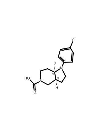 O=C(O)N1CC[C@@H]2[C@@H](CCN2c2ccc(Cl)cc2)C1